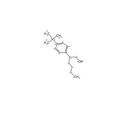 CCCCC(CO)c1ccc(C(C)(C)C)cc1